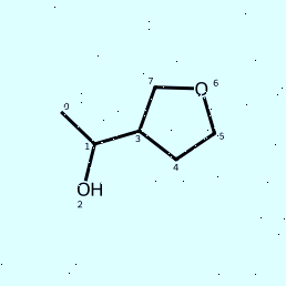 CC(O)C1CCOC1